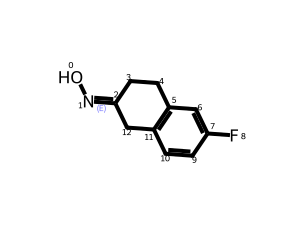 O/N=C1\CCc2cc(F)ccc2C1